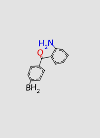 Bc1ccc(C(=O)c2ccccc2N)cc1